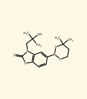 CC(C)(O)Cn1c(=O)oc2ccc(B3OCCC(C)(C)O3)cc21